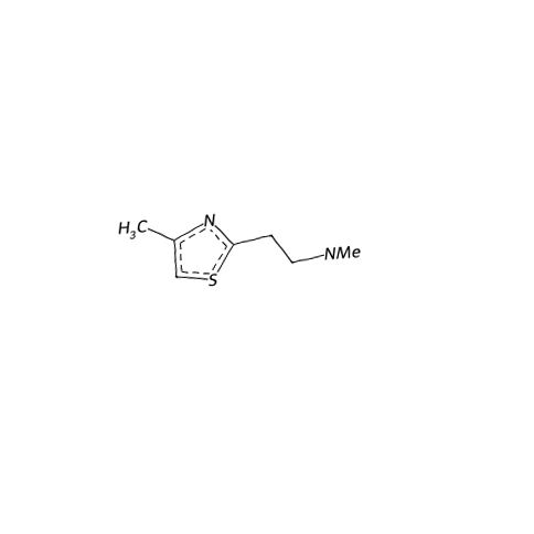 CNCCc1nc(C)cs1